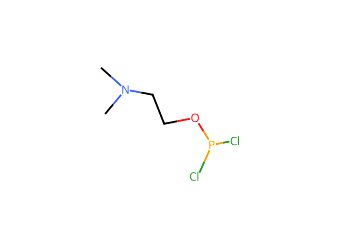 CN(C)CCOP(Cl)Cl